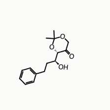 CC1(C)OCC(=O)[C@H]([C@@H](O)CCc2ccccc2)O1